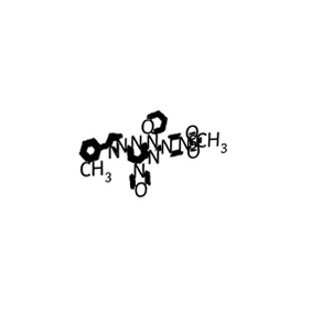 Cc1cccc(-c2ccn(-c3cc(N4CCOCC4)c4nc(N5CCN(S(C)(=O)=O)CC5)n(C5CCCCO5)c4n3)n2)c1